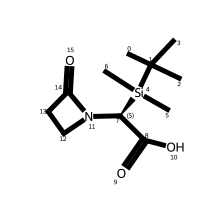 CC(C)(C)[Si](C)(C)[C@@H](C(=O)O)N1CCC1=O